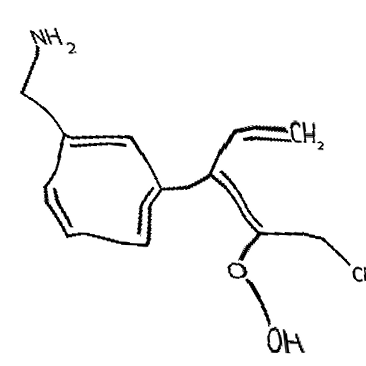 C=C/C(=C(\CC)OO)c1cccc(CN)c1